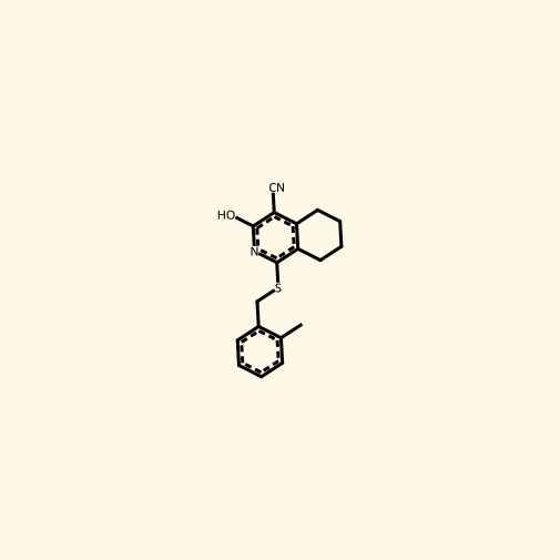 Cc1ccccc1CSc1nc(O)c(C#N)c2c1CCCC2